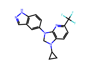 FC(F)(F)c1ccc2c(n1)N(c1ccc3[nH]ncc3c1)CN2C1CC1